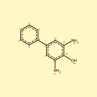 Nc1cc(-c2ccccc2)cc(N)c1O